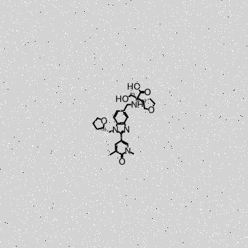 Cc1cc(-c2nc3cc(CN[C@@](C(=O)O)([C@@H]4CCOC4)[C@@H](C)O)ccc3n2C[C@@H]2CCCO2)cn(C)c1=O